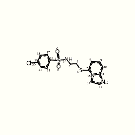 O=S(=O)(NCCSc1cccc2nccn12)c1ccc(Cl)cc1